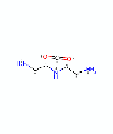 NCCNCCN.O=C=O